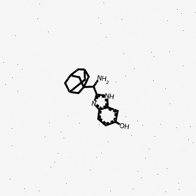 NC(c1nc2ccc(O)cc2[nH]1)C12CC3CC(CC(C3)C1)C2